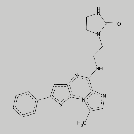 Cc1cnc2c(NCCN3CCNC3=O)nc3cc(-c4ccccc4)sc3n12